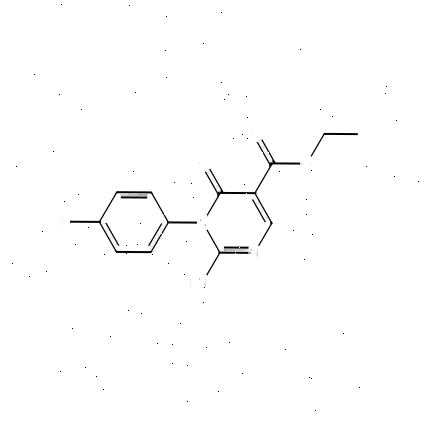 CCOC(=O)c1cnc(N)n(-c2ccc(F)cc2)c1=O